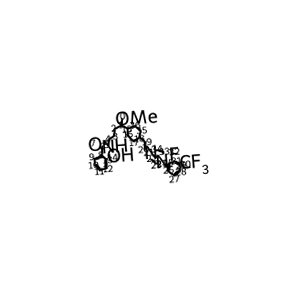 COC(CCCNC(=O)c1ccccc1O)C1CCC(CCN2CCN(c3cccc(C(F)(F)F)c3F)CC2)CC1